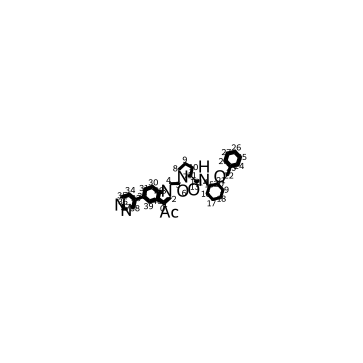 CC(=O)c1cn(CC(=O)N2CCC[C@H]2C(=O)N[C@H]2CCCC[C@@H]2OCc2ccccc2)c2ccc(-c3ccnnc3)cc12